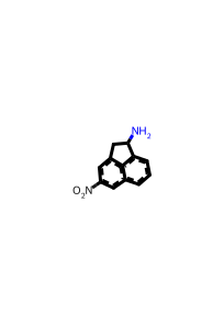 NC1Cc2cc([N+](=O)[O-])cc3cccc1c23